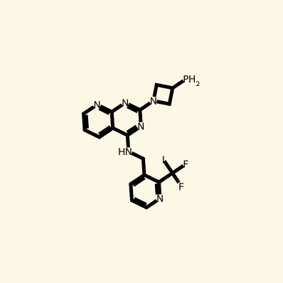 FC(F)(I)c1ncccc1CNc1nc(N2CC(P)C2)nc2ncccc12